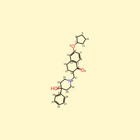 O=C1c2ccc(OC3CCCC3)cc2CCC1CN1CCC(O)(c2ccccc2)CC1